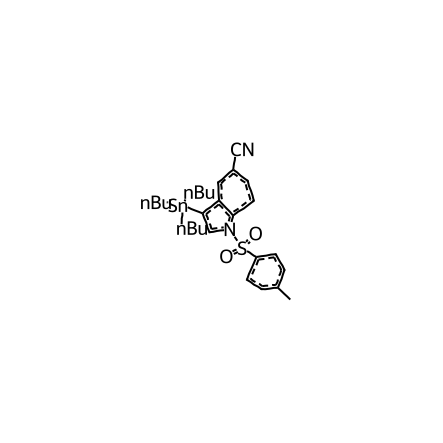 CCC[CH2][Sn]([CH2]CCC)([CH2]CCC)[c]1cn(S(=O)(=O)c2ccc(C)cc2)c2ccc(C#N)cc12